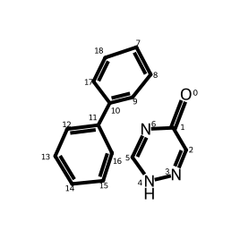 O=c1cn[nH]cn1.c1ccc(-c2ccccc2)cc1